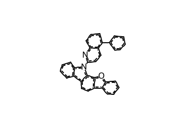 c1ccc(-c2cccc3nc(-n4c5ccccc5c5ccc6c7ccccc7oc6c54)ccc23)cc1